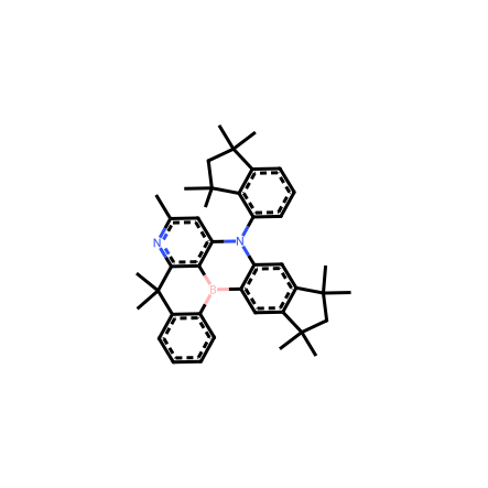 Cc1cc2c3c(n1)C(C)(C)c1ccccc1B3c1cc3c(cc1N2c1cccc2c1C(C)(C)CC2(C)C)C(C)(C)CC3(C)C